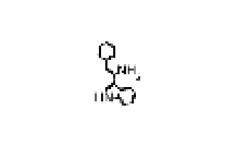 N/C(=C\c1ccccc1)c1c[nH]c2ccccc12